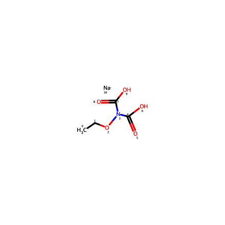 CCON(C(=O)O)C(=O)O.[Na]